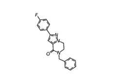 O=C1c2cc(-c3ccc(F)cc3)nn2CCN1Cc1ccccc1